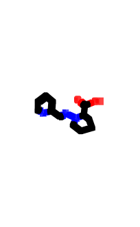 O=C(O)C1CCCCN1/N=C/c1ccccn1